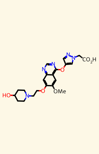 COc1cc2c(Oc3cnn(CC(=O)O)c3)ncnc2cc1OCCN1CCC(O)CC1